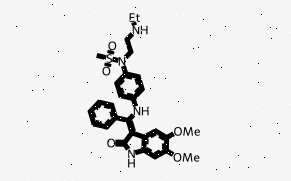 CCNCCN(c1ccc(NC(=C2C(=O)Nc3cc(OC)c(OC)cc32)c2ccccc2)cc1)S(C)(=O)=O